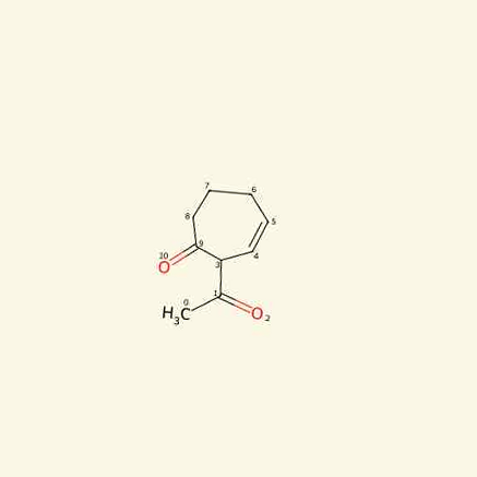 CC(=O)C1C=CCCCC1=O